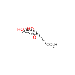 CCCCC(C)(O)CC=C[C@H]1C(=O)[C@H](CCCCCCC(=O)O)C[C@H]1O